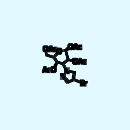 CC(=O)OCC1O[C@@H](OC(C)=O)C(OC(C)=O)C(n2cc(Br)cn2)[C@H]1OC(C)=O